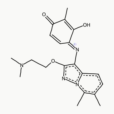 CC1=C(O)/C(=N/c2c(OCCN(C)C)nn3c(C)c(C)ccc23)C=CC1=O